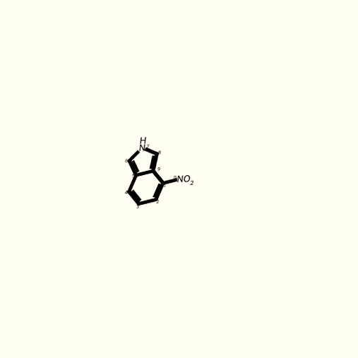 O=[N+]([O-])c1cccc2c[nH]cc12